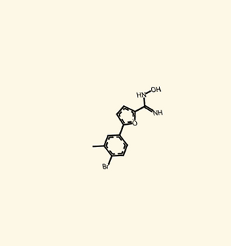 Cc1cc(-c2ccc(C(=N)NO)o2)ccc1Br